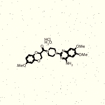 COc1ccc2c(c1)OCC(C(=O)N1CCN(c3nc(N)c4cc(OC)c(OC)cc4n3)CC1)O2.Cl.O